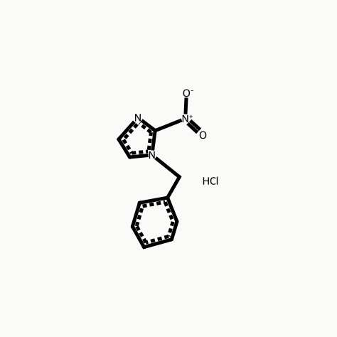 Cl.O=[N+]([O-])c1nccn1Cc1ccccc1